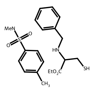 CCOC(=O)C(CS)NCc1ccccc1.CNS(=O)(=O)c1ccc(C)cc1